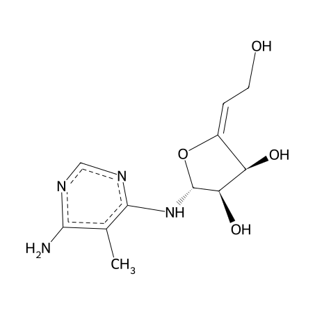 Cc1c(N)ncnc1N[C@@H]1O/C(=C/CO)[C@@H](O)[C@H]1O